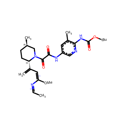 C=C(/C=C(\N=C/C)OC)[C@@H]1CC[C@@H](C)CN1C(=O)C(=O)Nc1cnc(NC(=O)OC(C)(C)C)c(C)c1